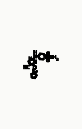 CC1(COc2nc(NC3CCN(S(N)(=O)=O)CC3)ncc2C#N)CCCC1